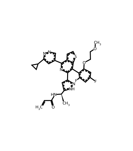 C=CC(=O)N[C@H](C)c1cc(-c2nc(-c3cnnc(C4CC4)c3)c3ccsc3c2-c2c(F)cc(F)cc2OCCOC)n[nH]1